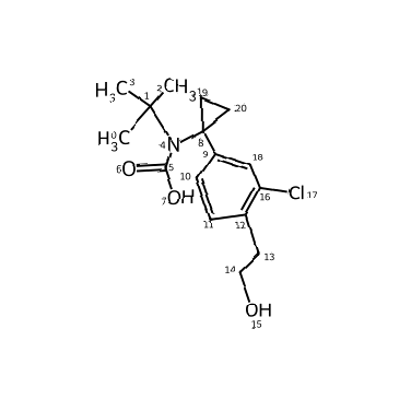 CC(C)(C)N(C(=O)O)C1(c2ccc(CCO)c(Cl)c2)CC1